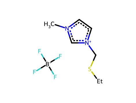 CCSC[n+]1ccn(C)c1.F[B-](F)(F)F